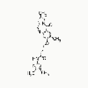 C=C1CC2C=Nc3cc(OCCCC(=O)Nc4cn(C)c(C)n4)c(C)cc3C(=O)N2C1